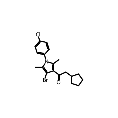 Cc1c(Br)c(C(=O)CC2CCCC2)c(C)n1-c1ccc(Cl)cc1